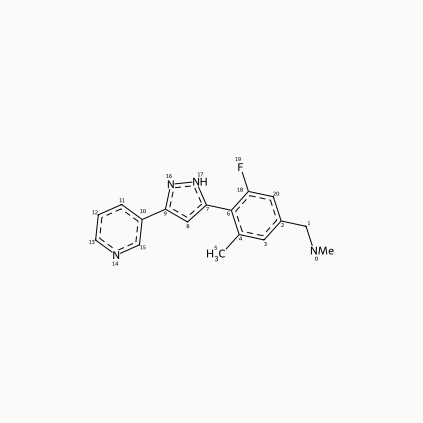 CNCc1cc(C)c(-c2cc(-c3cccnc3)n[nH]2)c(F)c1